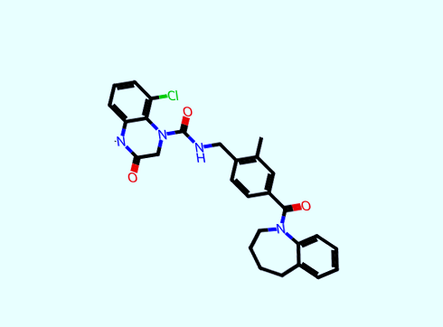 Cc1cc(C(=O)N2CCCCc3ccccc32)ccc1CNC(=O)N1CC(=O)[N]c2cccc(Cl)c21